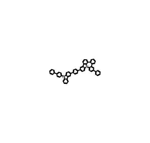 c1ccc(-c2ccc(-n3c4ccccc4c4cc(-c5ccc(-c6ccc7c(c6)c6cccc8c6n7-c6ccc(-c7ccccc7)cc6-c6ccccc6-8)cc5)ccc43)cc2)cc1